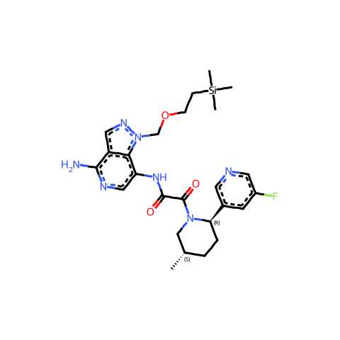 C[C@H]1CC[C@H](c2cncc(F)c2)N(C(=O)C(=O)Nc2cnc(N)c3cnn(COCC[Si](C)(C)C)c23)C1